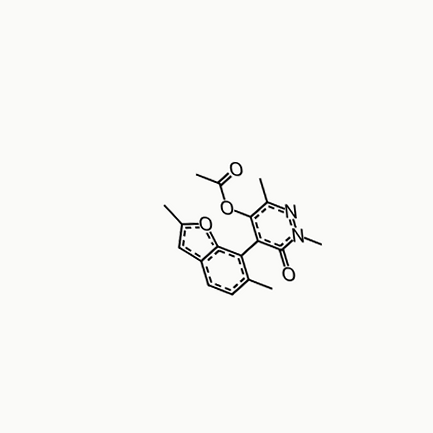 CC(=O)Oc1c(C)nn(C)c(=O)c1-c1c(C)ccc2cc(C)oc12